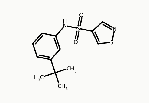 CC(C)(C)c1cccc(NS(=O)(=O)c2cnsc2)c1